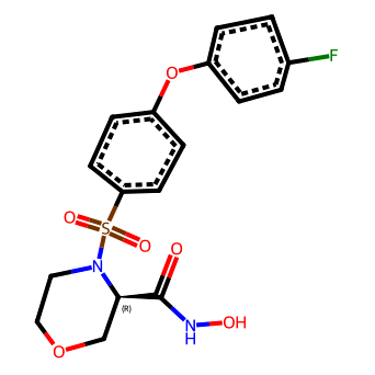 O=C(NO)[C@H]1COCCN1S(=O)(=O)c1ccc(Oc2ccc(F)cc2)cc1